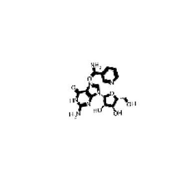 NC(=O)c1cccnc1.Nc1nc2c(ncn2[C@@H]2O[C@H](CO)[C@@H](O)[C@H]2O)c(=O)[nH]1